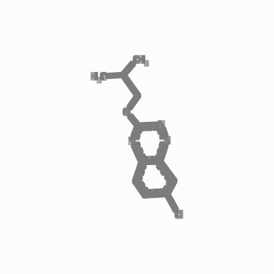 CC(C)COc1nnc2cc(Cl)ccc2n1